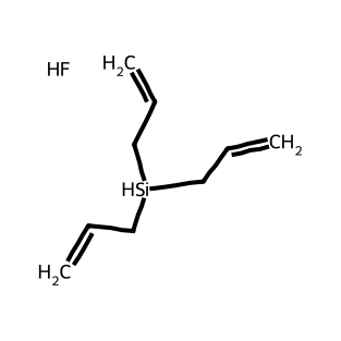 C=CC[SiH](CC=C)CC=C.F